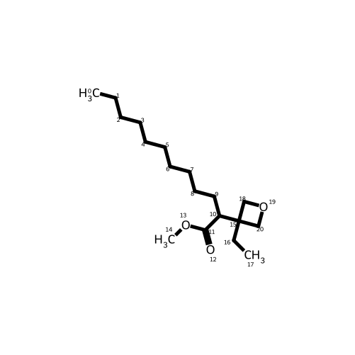 CCCCCCCCCCC(C(=O)OC)C1(CC)COC1